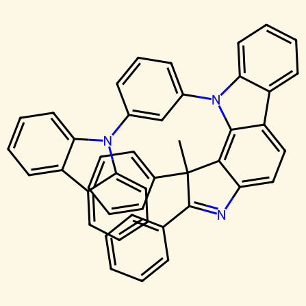 CC1(c2ccccc2)C(c2ccccc2)=Nc2ccc3c4ccccc4n(-c4cccc(-n5c6ccccc6c6ccccc65)c4)c3c21